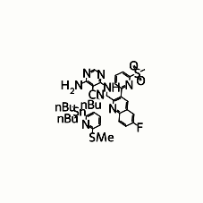 CCC[CH2][Sn]([CH2]CCC)([CH2]CCC)[c]1cccc(SC)n1.C[C@H](Nc1ncnc(N)c1C#N)c1nc2ccc(F)cc2cc1-c1cccc(S(C)(=O)=O)n1